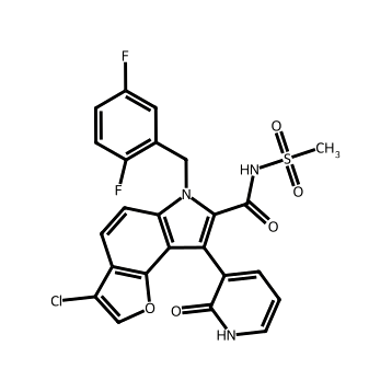 CS(=O)(=O)NC(=O)c1c(-c2ccc[nH]c2=O)c2c3occ(Cl)c3ccc2n1Cc1cc(F)ccc1F